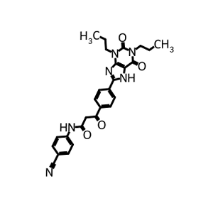 CCCn1c(=O)c2[nH]c(-c3ccc(C(=O)CC(=O)Nc4ccc(C#N)cc4)cc3)nc2n(CCC)c1=O